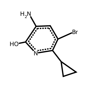 Nc1cc(Br)c(C2CC2)nc1O